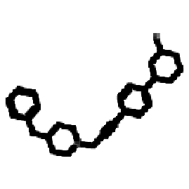 ClC1CCCC(c2ccc(C#CCN3CCC(Cc4ccccc4)CC3)cc2)C1